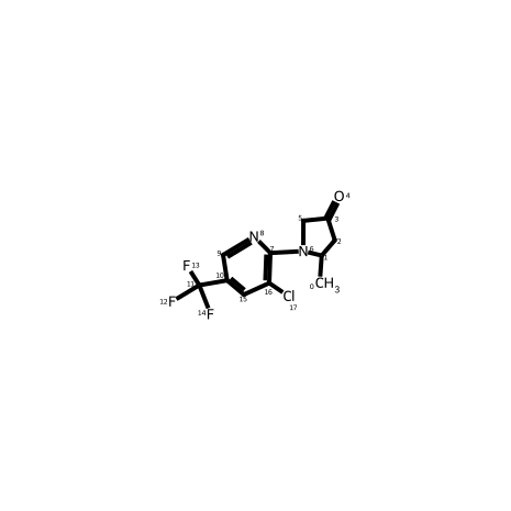 CC1CC(=O)CN1c1ncc(C(F)(F)F)cc1Cl